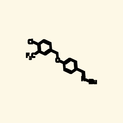 CCC(C)N=Cc1ccc(OCc2ccc(Cl)c(C(F)(F)F)c2)cc1